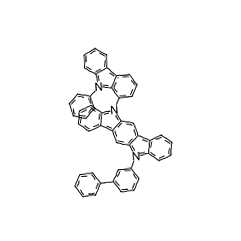 c1ccc(-c2cccc(-n3c4ccccc4c4cc5c(cc43)c3ccccc3n5-c3cccc4c5ccccc5n(-c5ccccc5)c34)c2)cc1